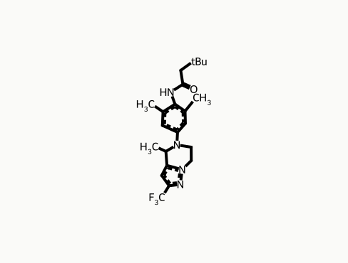 Cc1cc(N2CCn3nc(C(F)(F)F)cc3C2C)cc(C)c1NC(=O)CC(C)(C)C